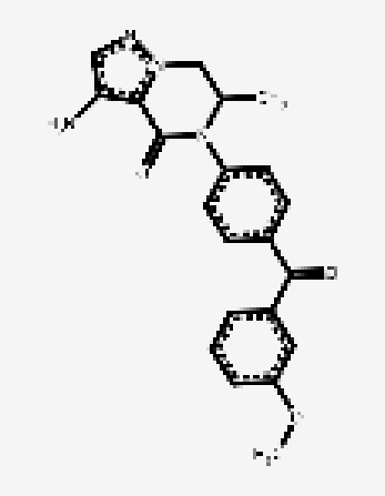 COc1cccc(C(=O)c2ccc(N3C(=O)c4c(N)cnn4CC3C)cc2)c1